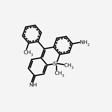 Cc1ccccc1C1=C2C=CC(=N)C=C2[Si](C)(C)c2cc(N)ccc21